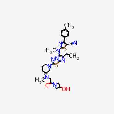 CCc1nc2sc(N3CCC[C@@H](N(C)CC(=O)N4CC(O)C4)C3)nn2c1N(C)c1nc(-c2ccc(C)cc2)c(C#N)s1